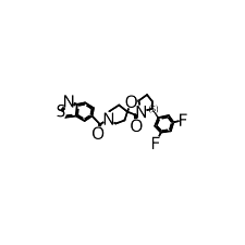 O=C(c1ccc2nscc2c1)N1CCC2(CC1)OC1CC[C@@H](c3cc(F)cc(F)c3)N1C2=O